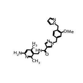 COc1cc(Cn2cc(C(=O)NCc3c(C)cc(N)nc3C)cn2)ccc1Cn1cccn1